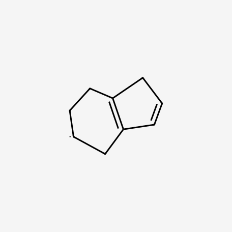 [CH]1CCC2=C(C=CC2)C1